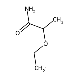 [CH2]COC(C)C(N)=O